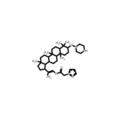 CC(=COC(=O)Cn1cccn1)C1CCC2(C)CCC3C(CCC4C3(C)CCC3C(C)(C)C(ON5CCNCC5)CCC34C)C12